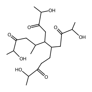 CC(O)C(=O)CCC(CC(=O)C(C)O)C(CC(=O)C(C)O)C(C)CC(=O)C(C)O